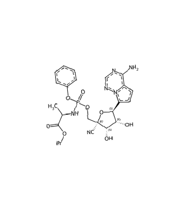 CC(C)OC(=O)C(C)NP(=O)(OC[C@@]1(C#N)O[C@@H](c2ccc3c(N)ncnn23)[C@H](O)[C@@H]1O)Oc1ccccc1